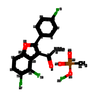 CNC(=O)c1c(-c2ccc(F)cc2)oc2ccc(F)c(F)c12.CS(=O)(=O)OF